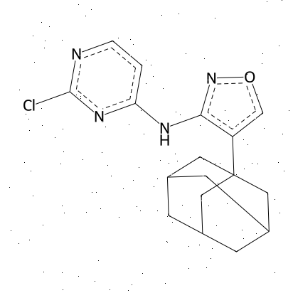 Clc1nccc(Nc2nocc2C23CC4CC(CC(C4)C2)C3)n1